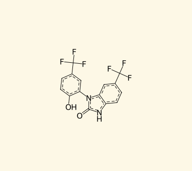 O=c1[nH]c2ccc(C(F)(F)F)cc2n1-c1cc(C(F)(F)F)ccc1O